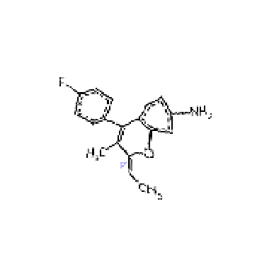 C/C=C1\Oc2cc(N)ccc2C(c2ccc(F)cc2)=C1C